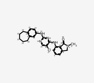 CN1Cc2cccc(Nc3nc(Nc4ccc5c(c4)CCCCC5)ncc3Cl)c2C1=O